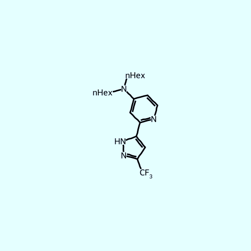 CCCCCCN(CCCCCC)c1ccnc(-c2cc(C(F)(F)F)n[nH]2)c1